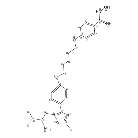 Cc1nc(-c2ccc(OCCCCCOc3ccc(C(=N)NO)cc3)cc2)c(CC(N)C(C)C)s1